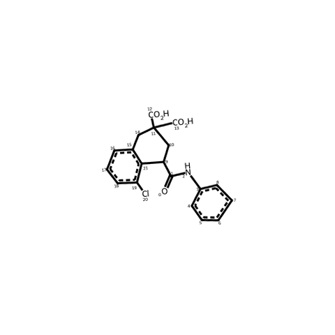 O=C(Nc1ccccc1)C1CC(C(=O)O)(C(=O)O)Cc2cccc(Cl)c21